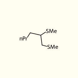 CCCCC(CSC)SC